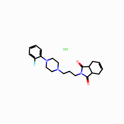 Cl.O=C1C2CC=CCC2C(=O)N1CCCN1CCN(c2ccccc2F)CC1